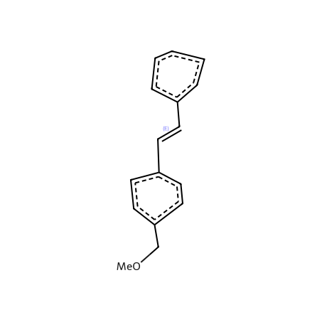 [CH2]OCc1ccc(/C=C/c2ccccc2)cc1